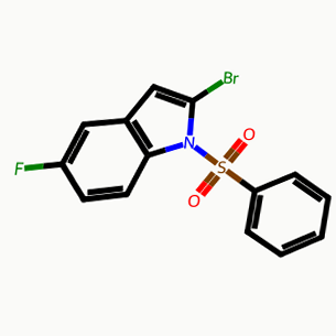 O=S(=O)(c1ccccc1)n1c(Br)cc2cc(F)ccc21